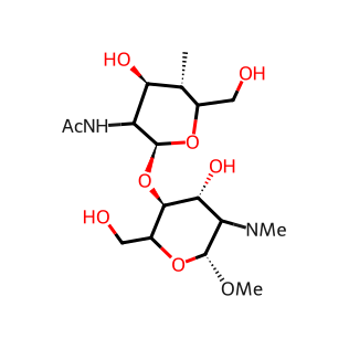 CNC1[C@H](OC)OC(CO)[C@@H](O[C@@H]2OC(CO)[C@@H](C)[C@H](O)C2NC(C)=O)[C@@H]1O